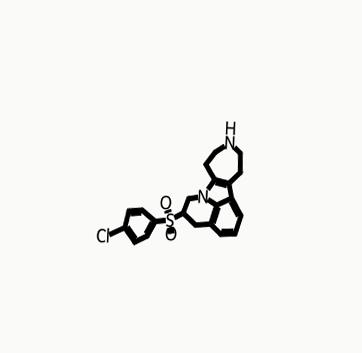 O=S(=O)(c1ccc(Cl)cc1)C1Cc2cccc3c4c(n(c23)C1)CCNCC4